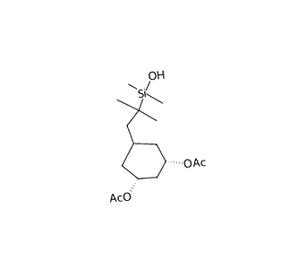 CC(=O)O[C@@H]1CC(CC(C)(C)[Si](C)(C)O)C[C@H](OC(C)=O)C1